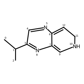 CC(C)c1cnc2c(n1)=CNCC=2